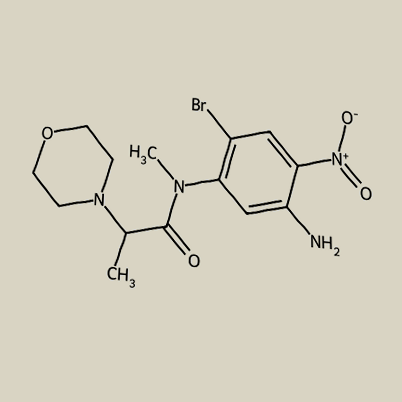 CC(C(=O)N(C)c1cc(N)c([N+](=O)[O-])cc1Br)N1CCOCC1